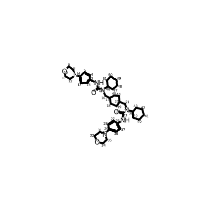 O=C(Nc1ccc(N2CCOCC2)cc1)N(CC1CCC(CN(C(=O)Nc2ccc(N3CCOCC3)cc2)C2CCCCC2)CC1)C1CCCCC1